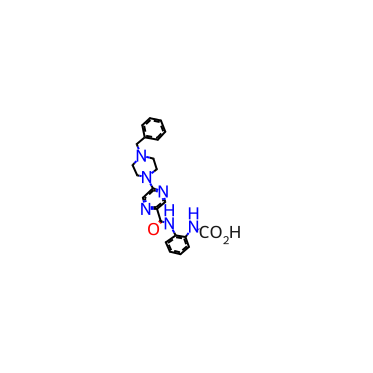 O=C(O)Nc1ccccc1NC(=O)c1cnc(N2CCN(Cc3ccccc3)CC2)cn1